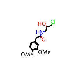 COc1ccc(CC(=O)NCC(O)CCl)cc1OC